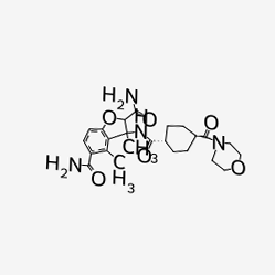 Cc1c(C(N)=O)ccc2c1C(C)(NC(=O)[C@H]1CC[C@H](C(=O)N3CCOCC3)CC1)C(C(N)=O)O2